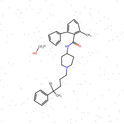 CCC(C)(CCCN1CCC(NC(=O)c2c(C)cccc2-c2ccccc2)CC1)c1ccccc1.O=C(O)O